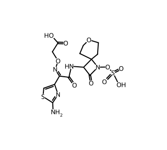 Nc1nc(C(=NOCC(=O)O)C(=O)NC2C(=O)N(OS(=O)(=O)O)C23CCOCC3)cs1